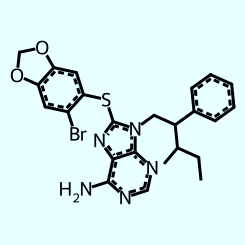 CCC(C)C(Cn1c(Sc2cc3c(cc2Br)OCO3)nc2c(N)ncnc21)c1ccccc1